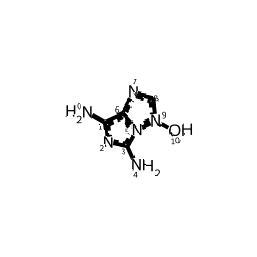 Nc1nc(N)n2c1ncn2O